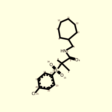 CC(C)(C(=O)NCC1CCCCCC1)S(=O)(=O)c1ccc(Cl)cc1